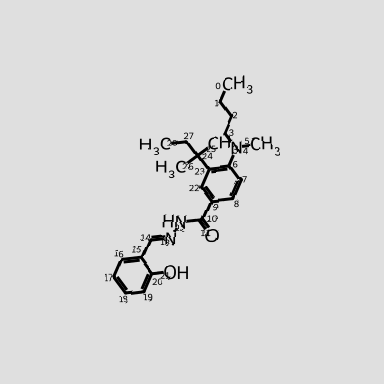 CCCCN(C)c1ccc(C(=O)N/N=C/c2ccccc2O)cc1C(C)(C)CC